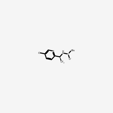 CC(C)(C)[S+]([O-])N[C@H](c1ccc(Cl)cn1)C(F)(F)F